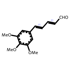 COc1cc(/C=C/C=C/C=O)cc(OC)c1OC